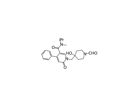 CC(C)N(C)C(=O)c1cn(CC2(O)CCN(C=O)CC2)c(=O)cc1-c1ccccc1